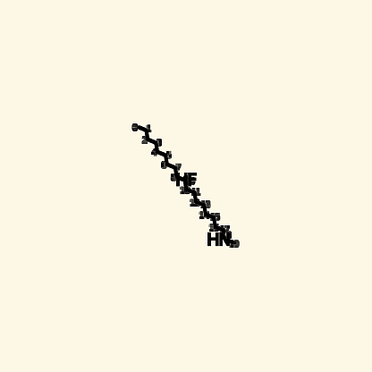 CCCCCCCCCCCCCCCCCCNC.F